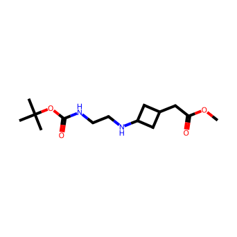 COC(=O)CC1CC(NCCNC(=O)OC(C)(C)C)C1